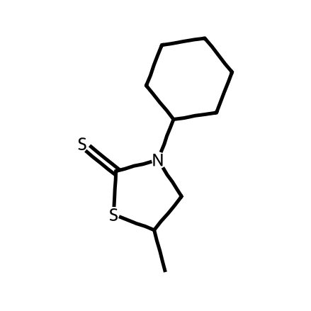 CC1CN(C2CCCCC2)C(=S)S1